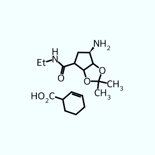 CCNC(=O)C1C[C@@H](N)C2OC(C)(C)OC12.O=C(O)C1C=CCCC1